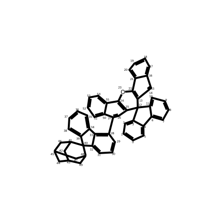 c1ccc2c(c1)-c1ccccc1C21c2ccc3ccccc3c2Oc2c1cc(-c1cccc3c1-c1ccccc1C31C3CC4CC(C3)CC1C4)c1ccccc21